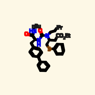 CCCCNC(=O)[C@H](Cc1ccc(-c2ccccc2)cc1)NC(=O)N(CCC(C)C)[C@H](CSc1ccccc1)CC(=O)OCC